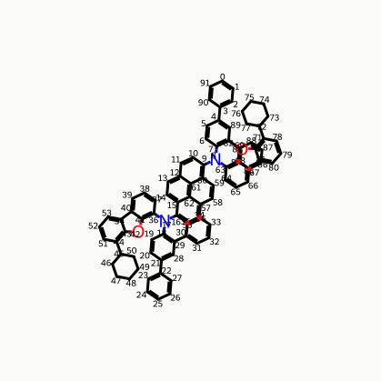 c1ccc(-c2ccc(N(c3ccc4ccc5c(N(c6ccc(-c7ccccc7)cc6-c6ccccc6)c6cccc7c6oc6c(C8CCCCC8)cccc67)ccc6ccc3c4c65)c3cccc4c3oc3c(C5CCCCC5)cccc34)c(-c3ccccc3)c2)cc1